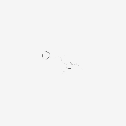 C[C@@H](Cn1nc(N=C=S)cc1C(C)(C)C)OCc1ccccc1